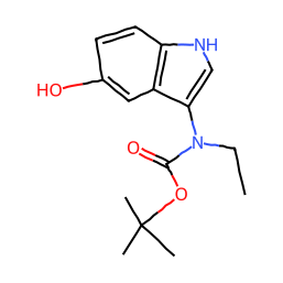 CCN(C(=O)OC(C)(C)C)c1c[nH]c2ccc(O)cc12